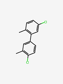 Cc1cc(-c2cc(Cl)ccc2C)ccc1Cl